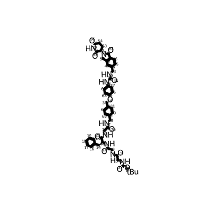 CC(C)(C)OC(=O)NCC(=O)NCC(=O)N[C@@H](Cc1ccccc1)C(=O)NCC(=O)NCc1ccc(COc2ccc(NC(=O)NCc3ccc4c(c3)CN(C3CCC(=O)NC3=O)C4=O)cc2)cc1